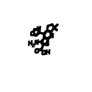 CC1(C)CCc2c1nc1sc(C(=O)O)c(N)c1c2-c1cocn1